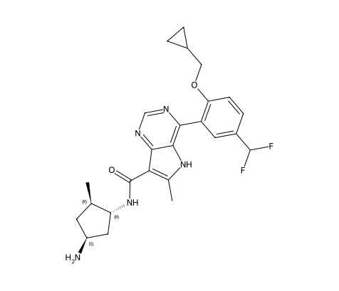 Cc1[nH]c2c(-c3cc(C(F)F)ccc3OCC3CC3)ncnc2c1C(=O)N[C@@H]1C[C@@H](N)C[C@H]1C